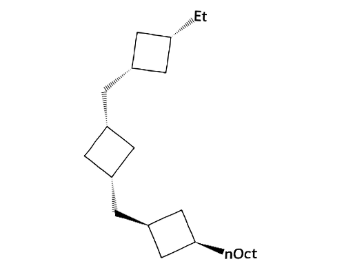 CCCCCCCC[C@H]1C[C@@H](C[C@H]2C[C@@H](C[C@H]3C[C@@H](CC)C3)C2)C1